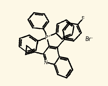 Fc1ccc(-c2c([P+](c3ccccc3)(c3ccccc3)c3ccccc3)c(C3CC3)nc3ccccc23)cc1.[Br-]